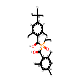 CCP(=O)(C(=O)c1c(C)cc(C)cc1C)C(=O)c1c(C)cc(C(C)(C)C)cc1C